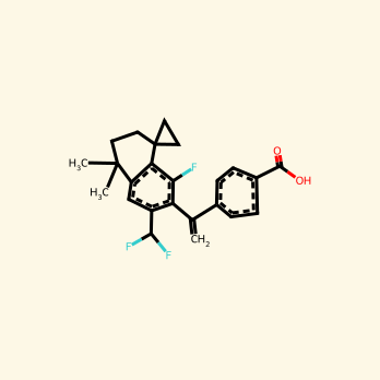 C=C(c1ccc(C(=O)O)cc1)c1c(C(F)F)cc2c(c1F)C1(CCC2(C)C)CC1